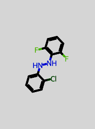 Fc1cccc(F)c1NNc1ccccc1Cl